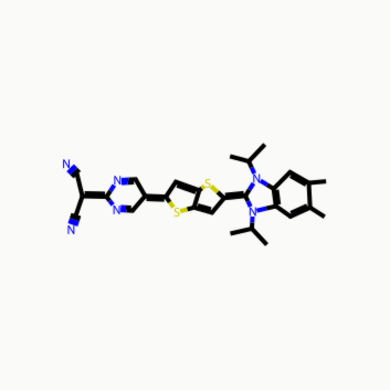 Cc1cc2c(cc1C)N(C(C)C)C(=c1cc3sc(=c4cnc(=C(C#N)C#N)nc4)cc3s1)N2C(C)C